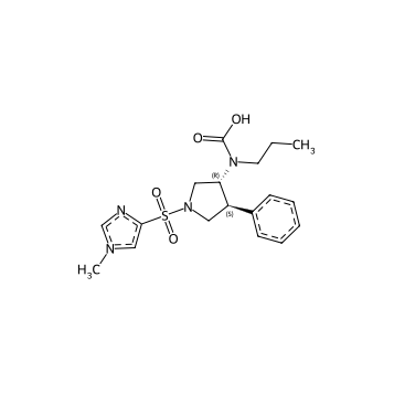 CCCN(C(=O)O)[C@H]1CN(S(=O)(=O)c2cn(C)cn2)C[C@@H]1c1ccccc1